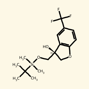 CC(C)(C)[Si](C)(C)OC[C@@]1(O)COc2ccc(C(F)(F)F)cc21